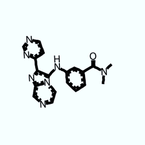 CN(C)C(=O)c1cccc(Nc2c(-c3ccncn3)nc3cnccn23)c1